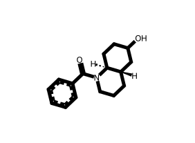 O=C(c1ccccc1)N1CCC[C@H]2CC(O)CC[C@@H]21